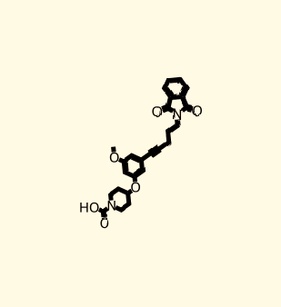 COc1cc(C#CCCCN2C(=O)c3ccccc3C2=O)cc(OC2CCN(C(=O)O)CC2)c1